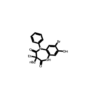 CCCCC1(CC)C(=O)[SH]c2cc(O)c(Br)cc2N(c2ccccc2)C1=O